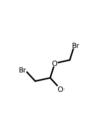 [O]C(CBr)OCBr